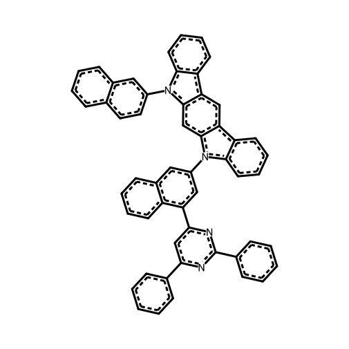 c1ccc(-c2cc(-c3cc(-n4c5ccccc5c5cc6c7ccccc7n(-c7ccc8ccccc8c7)c6cc54)cc4ccccc34)nc(-c3ccccc3)n2)cc1